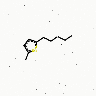 CCCCCc1ccc(C)s1